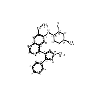 COc1cc2ncnc(-c3cn(C)nc3-c3ccccc3)c2cc1O[C@@H]1CCN(C)C[C@H]1F